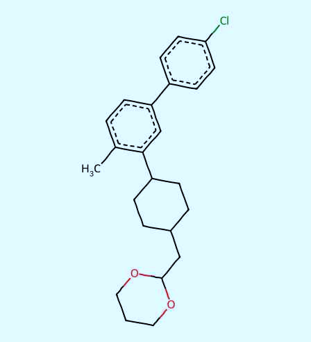 Cc1ccc(-c2ccc(Cl)cc2)cc1C1CCC(CC2OCCCO2)CC1